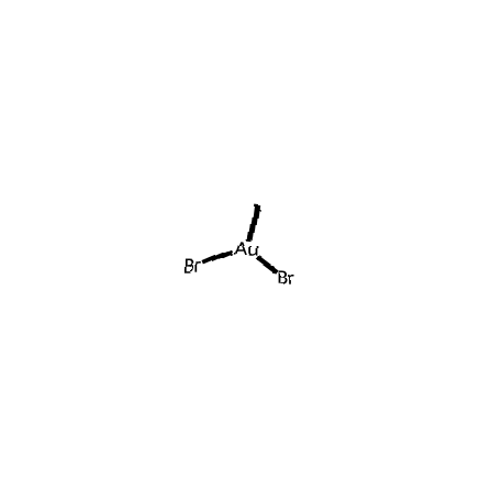 [CH3][Au]([Br])[Br]